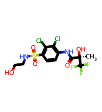 C[C@@](O)(C(=O)Nc1ccc(S(=O)(=O)NCCO)c(Cl)c1Cl)C(F)(F)F